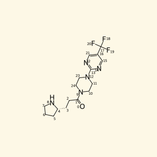 O=C(CC[C@@H]1CCCN1)N1CCN(c2ncc(C(F)(F)F)cn2)CC1